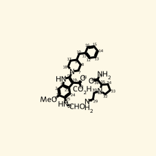 COc1cc2[nH]c(N3CCC(Cc4ccccc4)CC3)c(C(=O)C(=O)O)c2cc1NC=O.NCCN1CCCC1C(N)=O